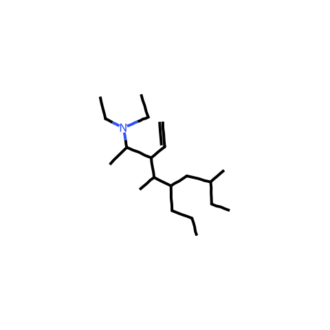 C=CC(C(C)C(CCC)CC(C)CC)C(C)N(CC)CC